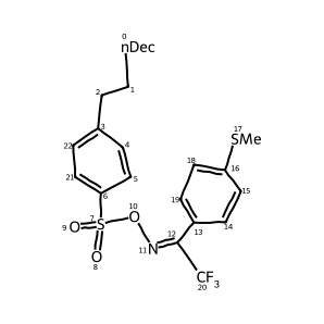 CCCCCCCCCCCCc1ccc(S(=O)(=O)ON=C(c2ccc(SC)cc2)C(F)(F)F)cc1